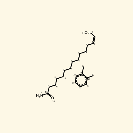 CCCCCCCC/C=C\CCCCCCCCCCCC(N)=O.Cc1ccccc1C